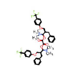 CN(C)C(OC(=O)C(=O)OC(C(COc1ccc(C(F)(F)F)cc1)Cc1ccccc1)N(C)C)C(COc1ccc(C(F)(F)F)cc1)Cc1ccccc1